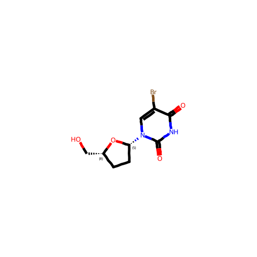 O=c1[nH]c(=O)n([C@@H]2CC[C@H](CO)O2)cc1Br